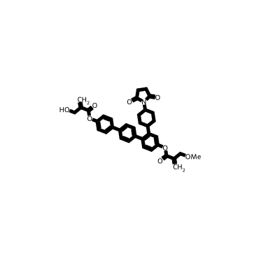 C=C(CO)C(=O)Oc1ccc(-c2ccc(-c3ccc(OC(=O)C(=C)COC)cc3C3CCC(N4C(=O)CCC4=O)CC3)cc2)cc1